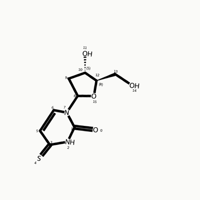 O=c1[nH]c(=S)ccn1C1C[C@H](O)[C@@H](CO)O1